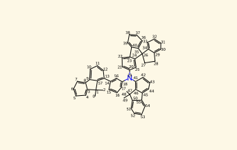 CC1(C)c2ccccc2-c2cccc(-c3cccc(N(c4ccc5c(c4)C4(CCc6ccccc64)c4ccccc4-5)c4cccc5c4C(C)(C)c4ccccc4-5)c3)c21